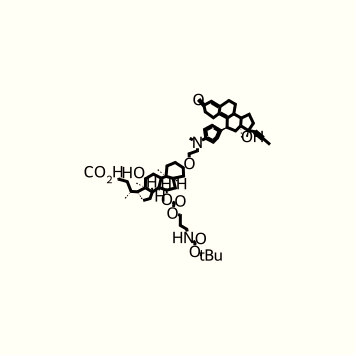 CC#C[C@@]1(O)CCC2C3CCC4=CC(=O)CCC4=C3[C@H](c3ccc(N(C)CCO[C@H]4CC[C@@]5(C)[C@@H](C4)C[C@@H](OC(=O)OCCCNC(=O)OC(C)(C)C)[C@@H]4[C@@H]5C[C@H](O)[C@]5(C)[C@@H]([C@H](C)CCC(=O)O)CC[C@@H]45)cc3)C[C@@]21C